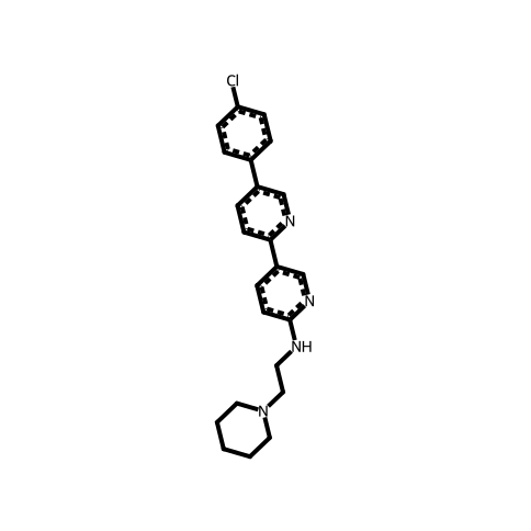 Clc1ccc(-c2ccc(-c3ccc(NCCN4CCCCC4)nc3)nc2)cc1